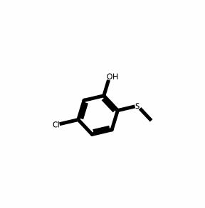 CSc1ccc(Cl)cc1O